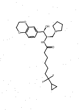 O=C(CCCCCC(F)(F)C1CC1)N[C@H](CN1CCCC1)[C@H](O)c1ccc2c(c1)OCCO2